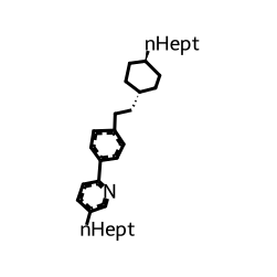 CCCCCCCc1ccc(-c2ccc(CC[C@H]3CC[C@H](CCCCCCC)CC3)cc2)nc1